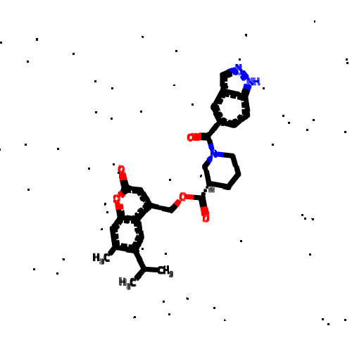 Cc1cc2oc(=O)cc(COC(=O)[C@H]3CCCN(C(=O)c4ccc5[nH]ncc5c4)C3)c2cc1C(C)C